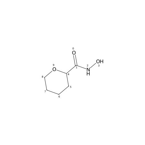 O=C(NO)C1CCCCO1